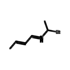 CC=CC=[SiH]C(C)CC